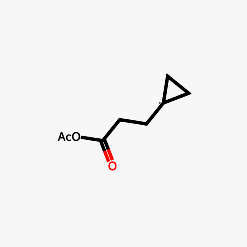 CC(=O)OC(=O)CC[C]1CC1